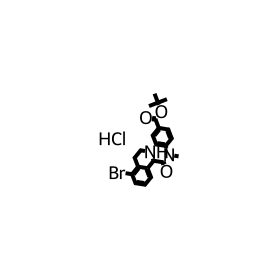 CN(C(=O)C1NCCc2c(Br)cccc21)c1ccc(C(=O)OC(C)(C)C)cc1.Cl